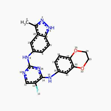 Cc1n[nH]c2ccc(Nc3ncc(F)c(Nc4ccc5c(c4)OCCO5)n3)cc12